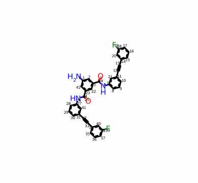 Nc1cc(C(=O)Nc2cccc(C#Cc3cccc(F)c3)c2)cc(C(=O)Nc2cccc(C#Cc3cccc(F)c3)c2)c1